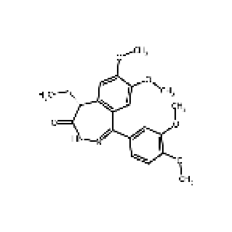 CC[C@H]1C(=O)NN=C(c2ccc(OC)c(OC)c2)c2cc(OC)c(OC)cc21